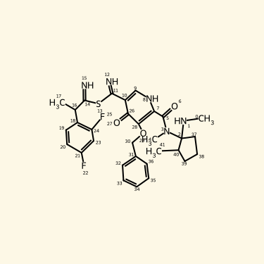 CNC1(N(C)C(=O)c2[nH]cc(C(=N)SC(=N)C(C)c3ccc(F)cc3F)c(=O)c2OCc2ccccc2)CCCC1C